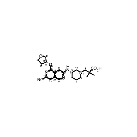 CC(C)(CN1CCC[C@H](Nc2cc3c(O[C@@H]4CCOC4)nc(C#N)cc3cn2)C1)C(=O)O